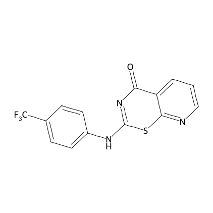 O=c1nc(Nc2ccc(C(F)(F)F)cc2)sc2ncccc12